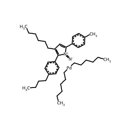 CCCCCCC1=C(c2ccc(CCCC)cc2)[N+](=[N-])C(c2ccc(C)cc2)=C1.CCCCC[CH2][Pd][CH2]CCCCC